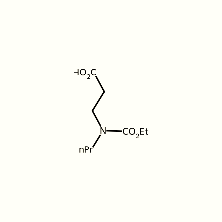 CCCN(CCC(=O)O)C(=O)OCC